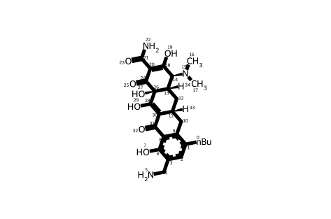 CCCCc1cc(CN)c(O)c2c1C[C@H]1C[C@H]3[C@H](N(C)C)C(O)=C(C(N)=O)C(=O)[C@@]3(O)C(O)=C1C2=O